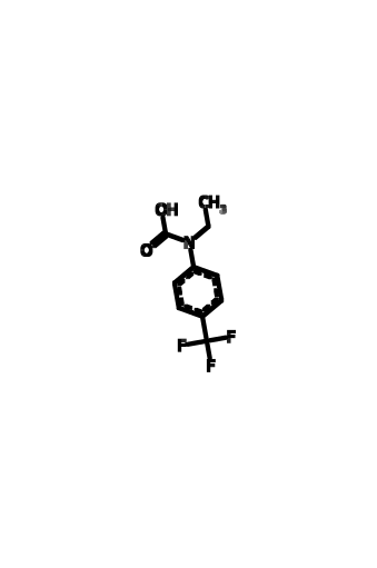 CCN(C(=O)O)c1ccc(C(F)(F)F)cc1